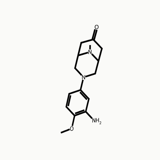 COc1ccc(N2CC3CC(=O)CC(C2)N3C)cc1N